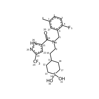 Cc1ccc(F)c(CN(CCC2CCS(O)(O)CC2)C(=O)c2cc(C(F)(F)F)n[nH]2)c1